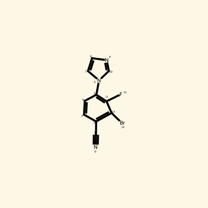 N#Cc1ccc(-n2ccnc2)c(F)c1Br